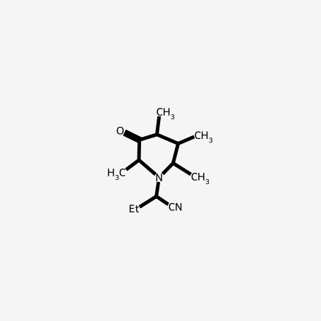 CCC(C#N)N1C(C)C(=O)C(C)C(C)C1C